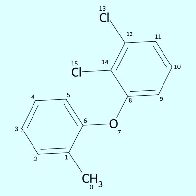 Cc1c[c]ccc1Oc1cccc(Cl)c1Cl